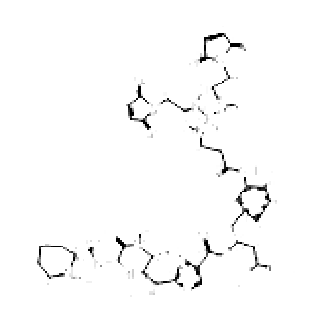 CC[C@H](C)[C@H](NC(=O)[C@H]1CCCCN1C)C(=O)N(C)[C@H](C[C@@H](OC(C)=O)c1nc(C(=O)N[C@@H](Cc2ccc(O)c(NC(=O)CCN(C)P(=O)(N(C)CCN3C(=O)C=CC3=O)N(C)CCN3C(=O)C=CC3=O)c2)CC(C)C(=O)O)cs1)C(C)C